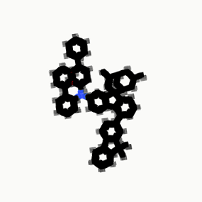 CC1=CC2(c3cc(N(c4ccc(-c5ccccc5)cc4)c4ccccc4-c4ccccc4)ccc3-c3c(-c4ccc5c(c4)C(C)(C)c4ccccc4-5)cccc32)C2CC(C)CC1C2